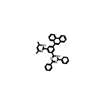 CC1=CC(C)NC(c2cc(C3=NC(c4ccccc4)=NC(C4=CC=CCC4)N3)cc(-c3cc4ccccc4c4ccccc34)c2)=N1